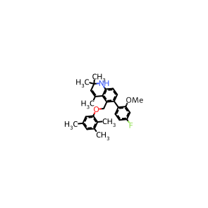 COc1cc(F)ccc1-c1ccc2c(c1COc1cc(C)cc(C)c1C)C(C)=CC(C)(C)N2